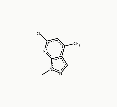 Cn1ncc2c(C(F)(F)F)cc(Cl)nc21